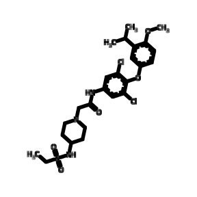 CCS(=O)(=O)NC1CCN(CC(=O)Nc2cc(Cl)c(Oc3ccc(OC)c(C(C)C)c3)c(Cl)c2)CC1